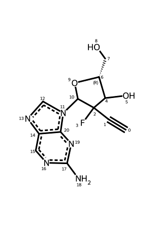 C#CC1(F)C(O)[C@@H](CO)OC1n1cnc2cnc(N)nc21